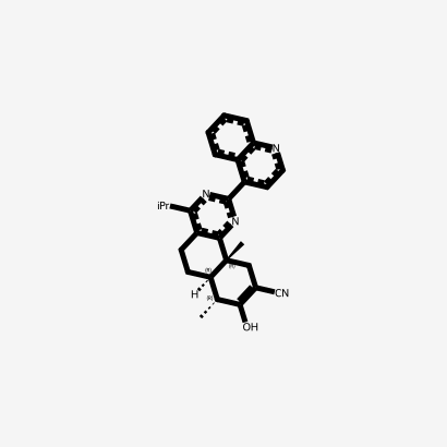 CC(C)c1nc(-c2ccnc3ccccc23)nc2c1CC[C@@H]1[C@@H](C)C(O)=C(C#N)C[C@@]21C